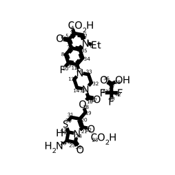 CCn1cc(C(=O)O)c(=O)c2cc(F)c(N3CCN(C(=O)OCC4=C(OC(=O)O)N5C(=O)[C@@H](N)[C@H]5SC4)CC3)cc21.O=C(O)C(F)(F)F